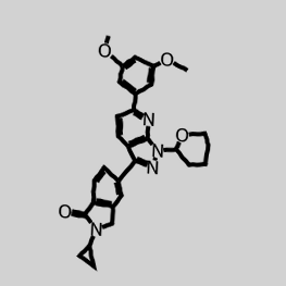 COc1cc(OC)cc(-c2ccc3c(-c4ccc5c(c4)CN(C4CC4)C5=O)nn(C4CCCCO4)c3n2)c1